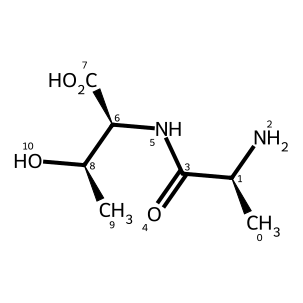 C[C@H](N)C(=O)N[C@H](C(=O)O)[C@@H](C)O